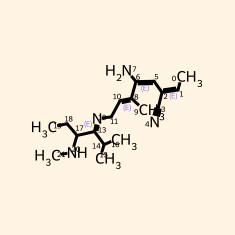 C\C=C(C#N)/C=C(N)\C(C)=C\C/N=C(\C(C)C)C(CC)NC